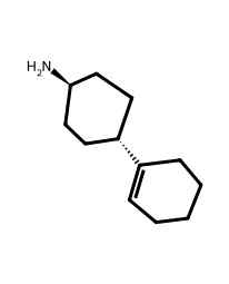 N[C@H]1CC[C@H](C2=CCCCC2)CC1